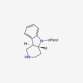 CCCCCN1c2ccccc2[C@@H]2CNCC[C@H]21